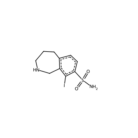 NS(=O)(=O)c1ccc2c(c1I)CNCCC2